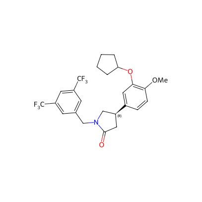 COc1ccc([C@H]2CC(=O)N(Cc3cc(C(F)(F)F)cc(C(F)(F)F)c3)C2)cc1OC1CCCC1